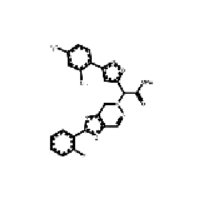 COC(=O)C(c1cc(-c2ccc(C(F)(F)F)cc2C(F)(F)F)no1)N1Cc2nc(-c3ccccc3F)[nH]c2C=N1